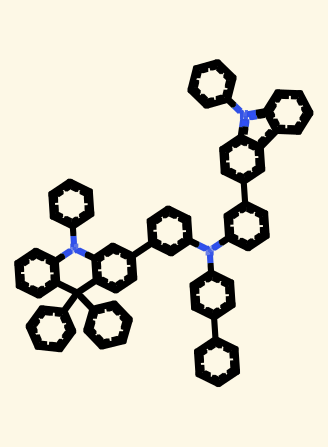 c1ccc(-c2ccc(N(c3cccc(-c4ccc5c(c4)N(c4ccccc4)c4ccccc4C5(c4ccccc4)c4ccccc4)c3)c3cccc(-c4ccc5c(c4)c4ccccc4n5-c4ccccc4)c3)cc2)cc1